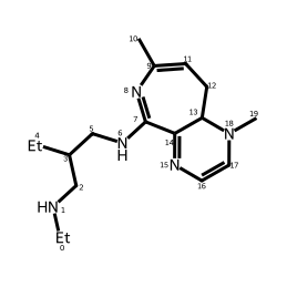 CCNCC(CC)CNC1=NC(C)=CCC2C1=NC=CN2C